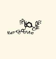 CCCn1cc(Cc2ccc(C(=O)OC)cc2OC)c2cc(C(OC(C)=O)C3CCN(CC)C3=O)ccc21